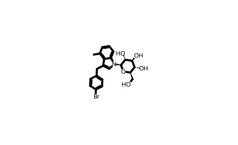 Cc1cccc2c1c(Cc1ccc(Br)cc1)cn2[C@@H]1O[C@H](CO)[C@@H](O)[C@H](O)[C@H]1O